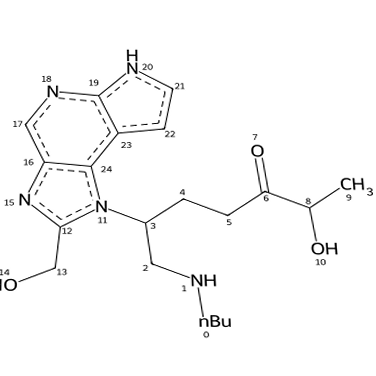 CCCCNCC(CCC(=O)C(C)O)n1c(CO)nc2cnc3[nH]ccc3c21